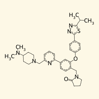 CC(C)c1nnc(-c2ccc(Oc3cc(-c4cccc(CN5CCC(N(C)C)CC5)n4)ccc3CN3CCCC3=O)cc2)s1